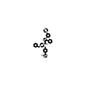 O=C(c1ncn(-c2cccc(N3CCOCC3)c2)c1C1C=CC=CC1)N1CCN(Cc2ccccc2)C[C@H]1Cc1ccc(-c2nnn[nH]2)cc1